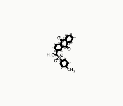 Cc1ccc(S(=O)(=O)C(C)c2ccc3c(c2)C(=O)c2ccccc2C3=O)cc1